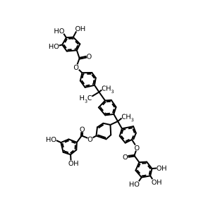 CC(C)(c1ccc(OC(=O)c2cc(O)c(O)c(O)c2)cc1)c1ccc(C(C)(c2ccc(OC(=O)c3cc(O)c(O)c(O)c3)cc2)C2C=CC(OC(=O)c3cc(O)cc(O)c3)=CC2)cc1